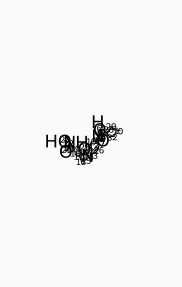 Cc1ccc(S(=O)(=O)Nc2ccc(CN3CC=C(CCC(=O)NO)C3=O)cc2)cc1